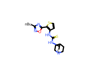 CCCCc1noc(-c2sccc2NC(=S)NC2CN3CCC2CC3)n1